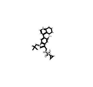 CC(C)(C)Cn1cc(CNS(=O)(=O)C2CC2)c2cc(F)c(-c3ccnc4c3CCCC4)cc21